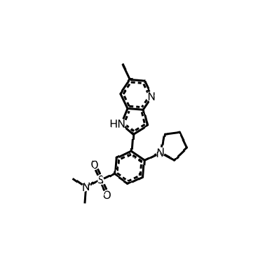 Cc1cnc2cc(-c3cc(S(=O)(=O)N(C)C)ccc3N3CCCC3)[nH]c2c1